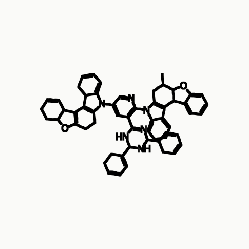 CC1Cc2c(c3c(n2-c2ncc(N4C5=CC=CCC5C5=C4CCC4=C5C5C=CCCC5O4)cc2C2=NC(C4C=CC=CC4)NC(C4=CC=CCC4)N2)=CCCC=3)C2c3ccccc3OC12